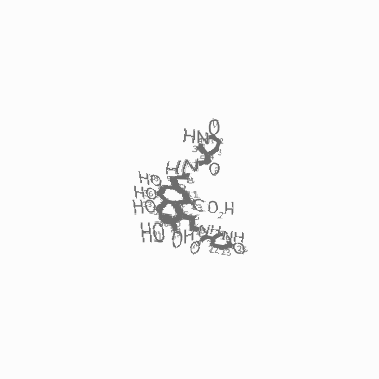 O=C1CCC(C(=O)NCCC2=C[C@@H](C(=O)O)c3c(CCNC(=O)C4CCC(=O)NC4)c(O)c(O)c(O)c3C(O)=C2O)CN1